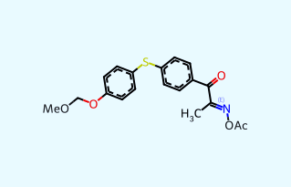 COCOc1ccc(Sc2ccc(C(=O)/C(C)=N/OC(C)=O)cc2)cc1